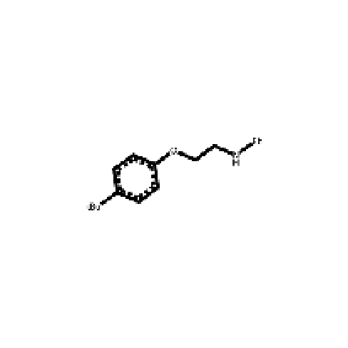 CCNCCOc1ccc(C(C)(C)C)cc1